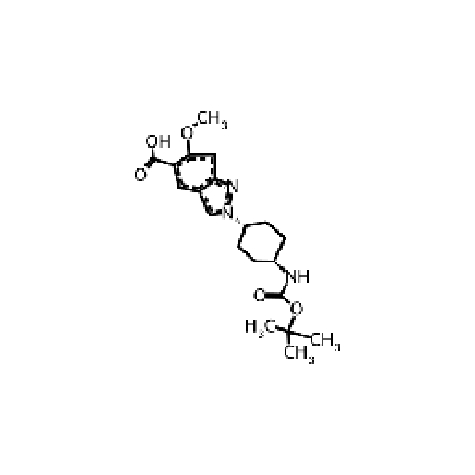 COc1cc2nn([C@H]3CC[C@H](NC(=O)OC(C)(C)C)CC3)cc2cc1C(=O)O